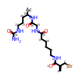 C=C(CBr)C(=O)NCCCCCC(=O)NCC(=O)NC(CCCNC(N)=O)C(C)=O